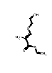 C=COC(=O)C(C)=COCCO